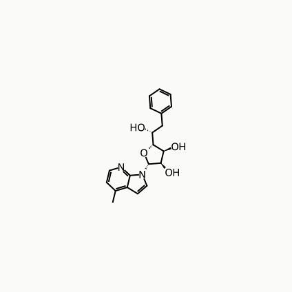 Cc1ccnc2c1ccn2[C@@H]1O[C@H]([C@H](O)Cc2ccccc2)[C@@H](O)[C@H]1O